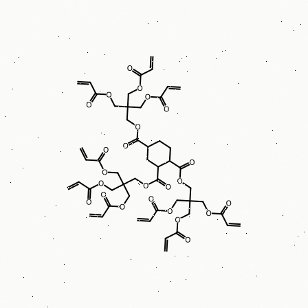 C=CC(=O)OCC(COC(=O)C=C)(COC(=O)C=C)COC(=O)C1CCC(C(=O)OCC(COC(=O)C=C)(COC(=O)C=C)COC(=O)C=C)C(C(=O)OCC(COC(=O)C=C)(COC(=O)C=C)COC(=O)C=C)C1